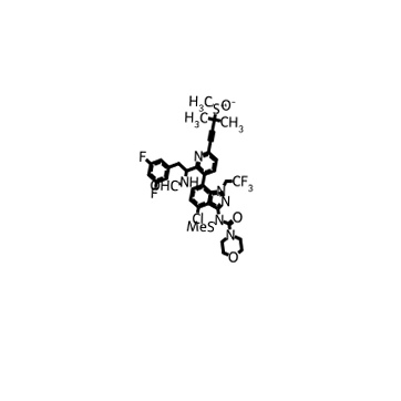 CSN(C(=O)N1CCOCC1)c1nn(CC(F)(F)F)c2c(-c3ccc(C#CC(C)(C)[S+](C)[O-])nc3C(Cc3cc(F)cc(F)c3)NC=O)ccc(Cl)c12